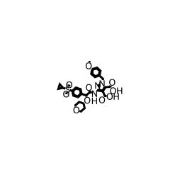 COc1ccc(Cn2nc(NC(=O)C(OC3CCOCC3)c3ccc(S(=O)(=O)C4CC4)cc3)c(C(=O)O)c2C(=O)O)cc1